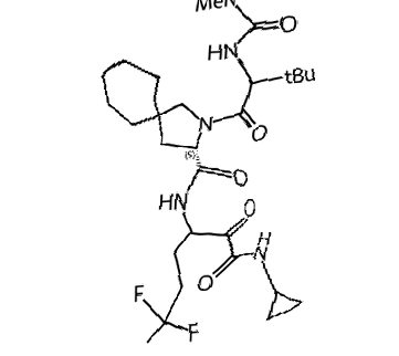 CNC(=O)NC(C(=O)N1CC2(CCCCC2)C[C@H]1C(=O)NC(CCC(C)(F)F)C(=O)C(=O)NC1CC1)C(C)(C)C